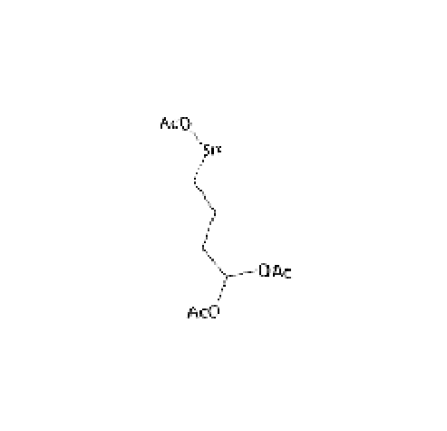 CC(=O)[O][Sn][CH2]CCC(OC(C)=O)OC(C)=O